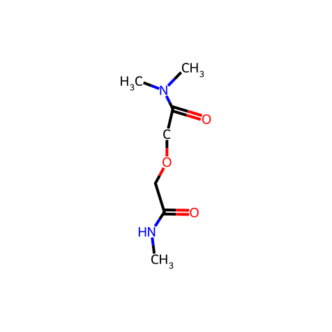 CNC(=O)COCC(=O)N(C)C